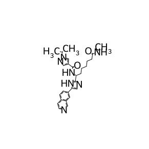 CNC(=O)CCCCCC(NC(=O)c1cnn(C(C)C)c1)c1ncc(-c2ccc3ccncc3c2)[nH]1